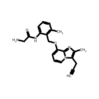 C#CCc1c(C)nc2c(OCc3c(C)cccc3NC(=O)CN)cccn12